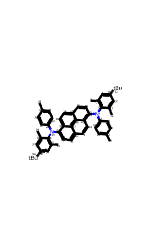 Cc1ccc(N(c2c(C)cc(C(C)(C)C)cc2C)c2ccc3ccc4c(N(c5ccc(C)cc5)c5c(C)cc(C(C)(C)C)cc5C)ccc5ccc2c3c54)cc1